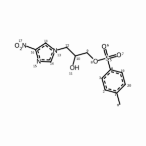 Cc1ccc(S(=O)(=O)OCC(O)Cn2cnc([N+](=O)[O-])c2)cc1